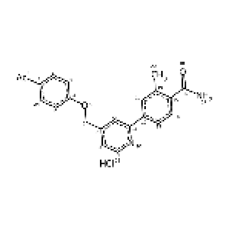 CC(=O)c1ccc(OCc2ccnc(-c3ccc(C(N)=O)c(C)c3)c2)cc1.Cl